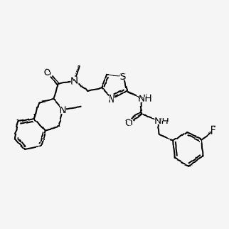 CN(Cc1csc(NC(=O)NCc2cccc(F)c2)n1)C(=O)C1Cc2ccccc2CN1C